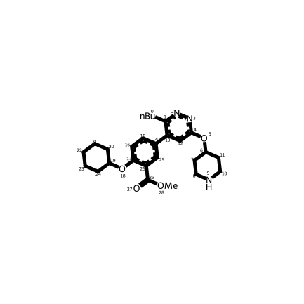 CCCCc1nnc(OC2CCNCC2)cc1-c1ccc(OC2CCCCC2)c(C(=O)OC)c1